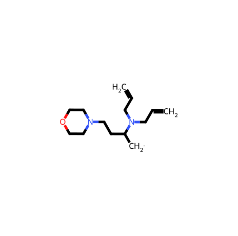 [CH2]C(CCN1CCOCC1)N(CC=C)CC=C